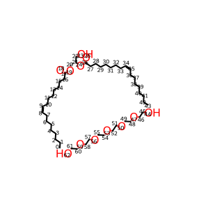 CCCCCCCC/C=C\CCCCCCCC(=O)OC[C@H](CO)OC(=O)CCCCCCC/C=C\CCCCCCCC.OCCOCCOCCOCCOCCOCCO